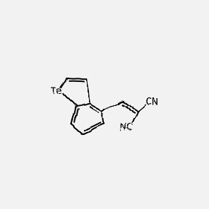 N#CC(C#N)=Cc1cccc2[te]ccc12